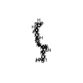 CCC1(C(=O)NC(C)C)CCN(c2ccc(-c3nc(-c4cnn(C5CCN(CC6(O)CCN(c7ccc(NC8CCC(=O)NC8=O)cc7F)CC6)CC5)c4)cn4ncc(C#N)c34)cn2)CC1